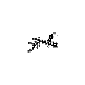 CC(C)(C)OC(=O)CC[C@H](NC(=O)N[C@@H](CCCCNC(=O)[C@H](Cc1ccccc1I)NC(=O)C1CCC(CN)CC1)C(=O)OC(C)(C)C)C(=O)OC(C)(C)C